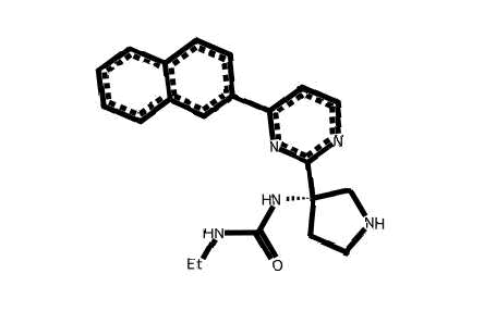 CCNC(=O)N[C@@]1(c2nccc(-c3ccc4ccccc4c3)n2)CCNC1